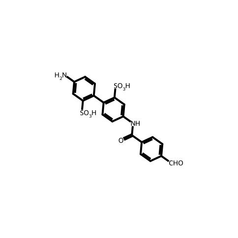 Nc1ccc(-c2ccc(NC(=O)c3ccc(C=O)cc3)cc2S(=O)(=O)O)c(S(=O)(=O)O)c1